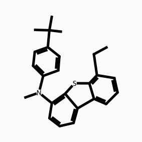 CCc1cccc2c1sc1c(N(C)c3ccc(C(C)(C)C)cc3)cccc12